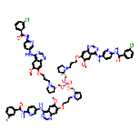 COc1cc2c(Nc3ccc(NC(=O)c4cccc(Cl)c4)nc3)ncnc2cc1OCCCN1CCC[C@H]1COP(=O)(OC[C@@H]1CCCN1CCCOc1cc2ncnc(Nc3ccc(NC(=O)c4cccc(Cl)c4)nc3)c2cc1OC)OC[C@@H]1CCCN1CCCOc1cc2ncnc(Nc3ccc(NC(=O)c4cccc(Cl)c4)nc3)c2cc1OC